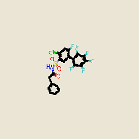 O=C(Cc1ccccc1)NS(=O)(=O)c1cc(-c2c(F)c(F)c(F)c(F)c2F)c(F)cc1Cl